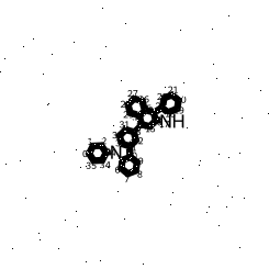 c1ccc(-n2c3ccccc3c3cc(-c4cc5[nH]c6ccccc6c5c5ccccc45)ccc32)cc1